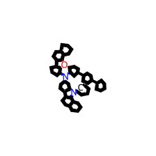 c1ccc(-c2ccc(-c3cccc(N(c4ccc5c6ccc7ccccc7c6n(-c6ccccc6)c5c4)c4cccc5c4oc4c6ccccc6ccc54)c3)cc2)cc1